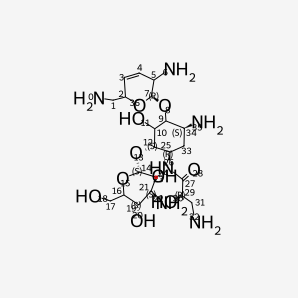 NCC1C=CC(N)[C@@H](OC2C(O)[C@@H](O[C@H]3OC(CO)[C@@H](O)[C@H](N)C3O)[C@H](NC(=O)[C@H](O)CN)C[C@@H]2N)O1